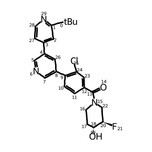 CC(C)(C)c1cc(-c2cncc(-c3ccc(C(=O)N4CC[C@@H](O)[C@H](F)C4)cc3Cl)c2)ccn1